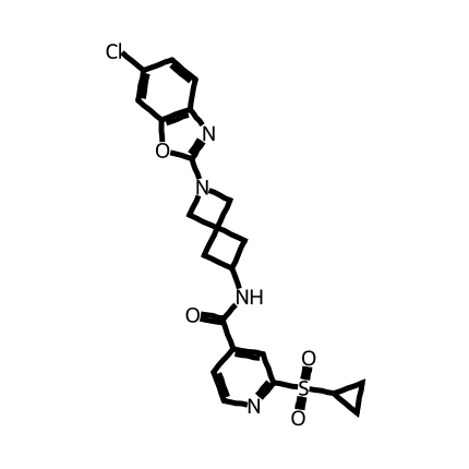 O=C(NC1CC2(C1)CN(c1nc3ccc(Cl)cc3o1)C2)c1ccnc(S(=O)(=O)C2CC2)c1